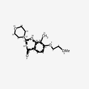 COCCOc1ccc2c(=O)cc(N3CCOCC3)oc2c1C